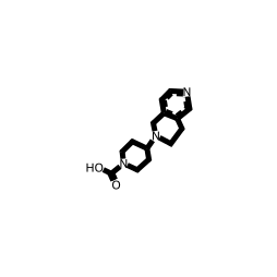 O=C(O)N1CCC(N2CCc3cnccc3C2)CC1